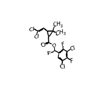 CC1(C)C(C=C(Cl)Cl)C1C(=O)OC(F)c1cc(Cl)c(F)c(Cl)c1F